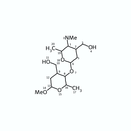 CNC1C(CO)CC(OC2C(CO)CC(OC)OC2C)OC1C